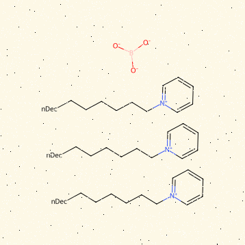 CCCCCCCCCCCCCCCC[n+]1ccccc1.CCCCCCCCCCCCCCCC[n+]1ccccc1.CCCCCCCCCCCCCCCC[n+]1ccccc1.[O-]B([O-])[O-]